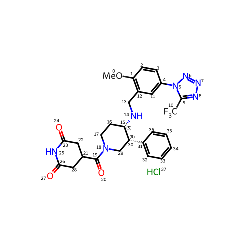 COc1ccc(-n2nnnc2C(F)(F)F)cc1CN[C@H]1CCN(C(=O)C2CC(=O)NC(=O)C2)C[C@H]1c1ccccc1.Cl